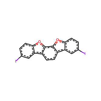 Ic1ccc2oc3c(ccc4c5cc(I)ccc5oc43)c2c1